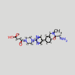 CN(Cc1cccc(-c2cnc(N3CCN(C(=O)CCC(=O)O)CC3)nc2)c1)C(=O)CN